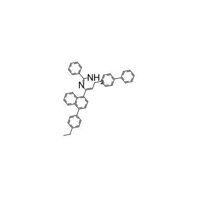 CCc1ccc(-c2ccc(C(=C/Cc3ccc(-c4ccccc4)cc3)/N=C(\N)c3ccccc3)c3ccccc23)cc1